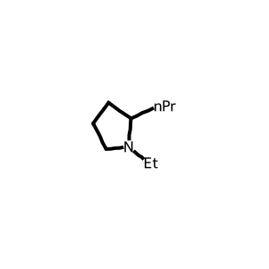 [CH2]CCC1CCCN1CC